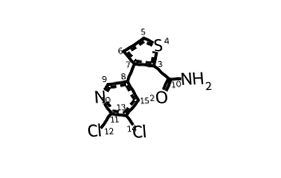 NC(=O)c1sccc1-c1cnc(Cl)c(Cl)c1